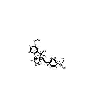 CCc1ccc2c(c1)C(C)(C)C1(/C=C/c3ccc(N(C)C)cc3)OCCN21